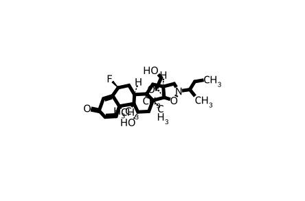 CCC(C)N1C[C@@H]2C[C@@]3(C)[C@@H]4C[C@H](F)C5=CC(=O)C=C[C@]5(C)[C@@]4(C)[C@@H](O)C[C@]3(C)[C@]2(C(=O)CO)O1